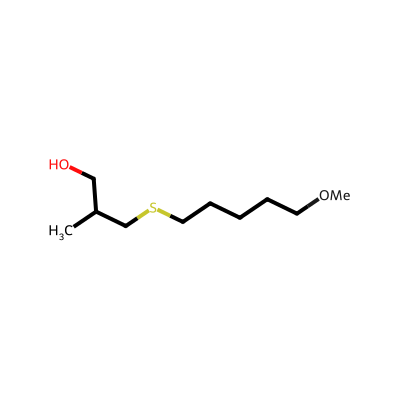 COCCCCCSCC(C)CO